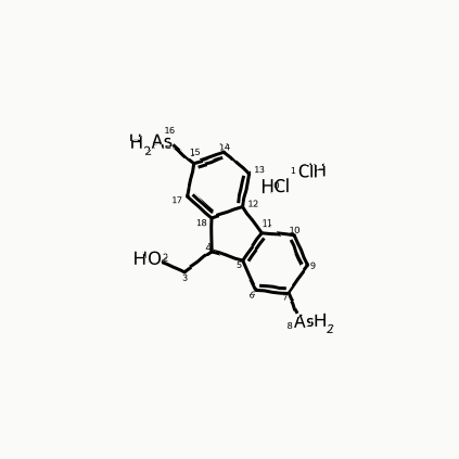 Cl.Cl.OCC1c2cc([AsH2])ccc2-c2ccc([AsH2])cc21